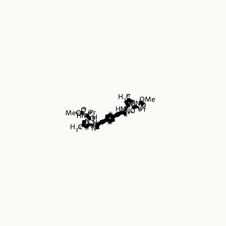 COC(=O)N[C@H](C(=O)N1C[C@@H](C)C[C@H]1c1ncc(C#Cc2ccc(C#Cc3cnc([C@@H]4C[C@H](C)CN4C(=O)[C@H](NC(=O)OC)C(C)C)[nH]3)cc2)[nH]1)C(C)C